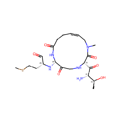 CSCC[C@H](C=O)N[C@@H]1NC(=O)CCC=CCN(C)C(=O)[C@H](C(=O)[C@@H](N)[C@H](C)O)NCC1=O